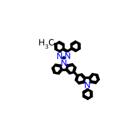 Cc1ccc2c(-c3ccccc3)nc(-n3c4ccccc4c4cc(-c5ccc6c(c5)c5ccccc5n6-c5ccccc5)ccc43)nc2c1